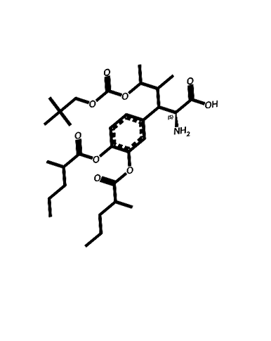 CCCC(C)C(=O)Oc1ccc(C(C(C)C(C)OC(=O)OCC(C)(C)C)[C@H](N)C(=O)O)cc1OC(=O)C(C)CCC